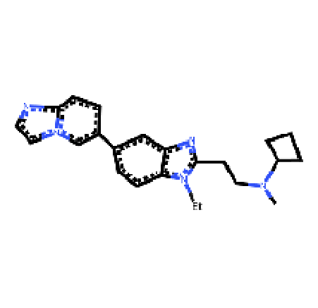 CCn1c(CCN(C)C2CCC2)nc2cc(-c3ccc4nccn4c3)ccc21